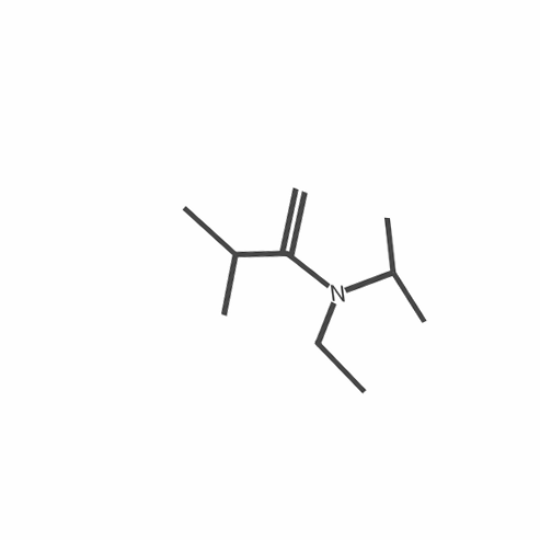 C=C(C(C)C)N(CC)C(C)C